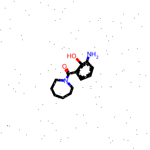 Nc1cccc(C(=O)N2CCCCCC2)c1O